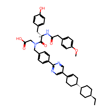 CC[C@H]1CC[C@H](C2CC=C(c3cnc(-c4ccc(CN(CC(=O)O)C(=O)[C@H](Cc5ccc(O)cc5)NC(=O)Cc5ccc(OC)cc5)cc4)nc3)CC2)CC1